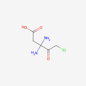 NC(N)(CC(=O)O)C(=O)CCl